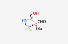 CC(C)(C)OC=O.OC[C@H]1CCC(F)(F)CN1